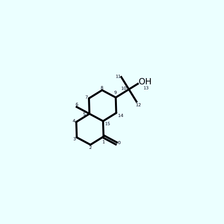 C=C1CCCC2(C)CCC(C(C)(C)O)CC12